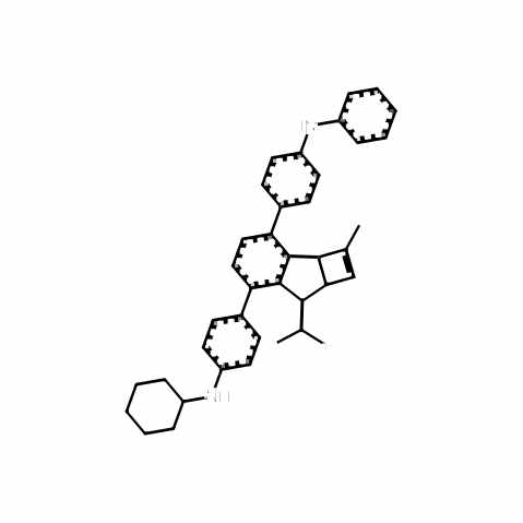 CC1=CC2C1c1c(-c3ccc(Nc4ccccc4)cc3)ccc(-c3ccc(NC4CCCCC4)cc3)c1C2C(C)C(C)C